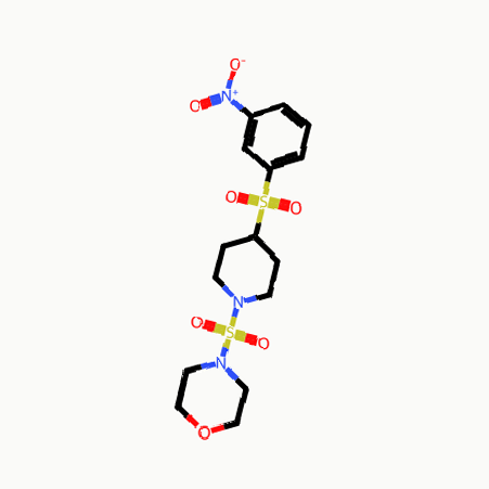 O=[N+]([O-])c1cccc(S(=O)(=O)C2CCN(S(=O)(=O)N3CCOCC3)CC2)c1